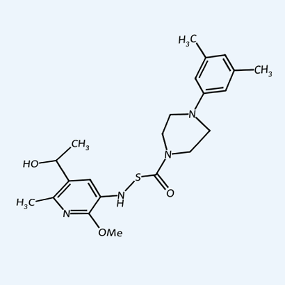 COc1nc(C)c(C(C)O)cc1NSC(=O)N1CCN(c2cc(C)cc(C)c2)CC1